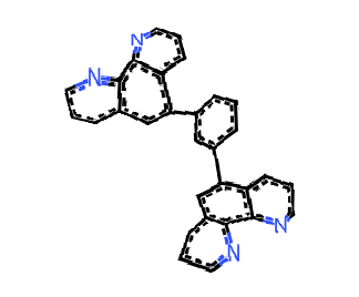 c1cc(-c2cc3cccnc3c3ncccc23)cc(-c2cc3cccnc3c3ncccc23)c1